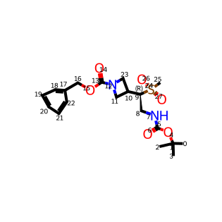 CC(C)(C)OC(=O)NC[C@@H](C1CN(C(=O)OCc2ccccc2)C1)S(C)(=O)=O